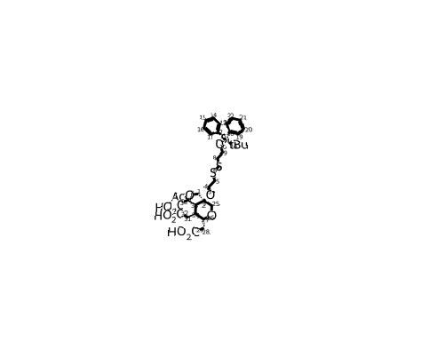 CC(=O)OC[C@]1(OCCSSCCO[Si](c2ccccc2)(c2ccccc2)C(C)(C)C)CO[C@H](CC(=O)O)[C@@H](CC(=O)O)[C@H]1CC(=O)O